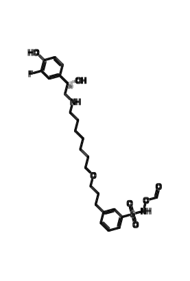 O=CONS(=O)(=O)c1cccc(CCCOCCCCCCCNC[C@@H](O)c2ccc(O)c(F)c2)c1